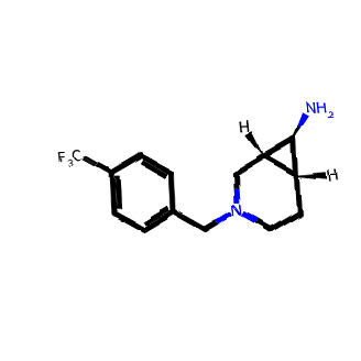 N[C@@H]1[C@H]2CN(Cc3ccc(C(F)(F)F)cc3)CC[C@@H]12